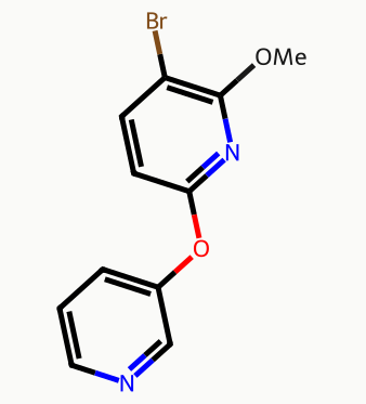 COc1nc(Oc2cccnc2)ccc1Br